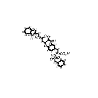 O=C(CC1Oc2ccc(C[C@H](NS(=O)(=O)Cc3ccccc3)C(=O)O)cc2NC1=O)NCc1nc2ccccc2[nH]1